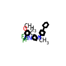 COc1ccc(Nc2ccc(N(C)c3ccc(C4CCCCC4)cc3)cc2C)c(C(F)(F)F)c1